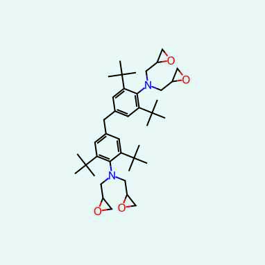 CC(C)(C)c1cc(Cc2cc(C(C)(C)C)c(N(CC3CO3)CC3CO3)c(C(C)(C)C)c2)cc(C(C)(C)C)c1N(CC1CO1)CC1CO1